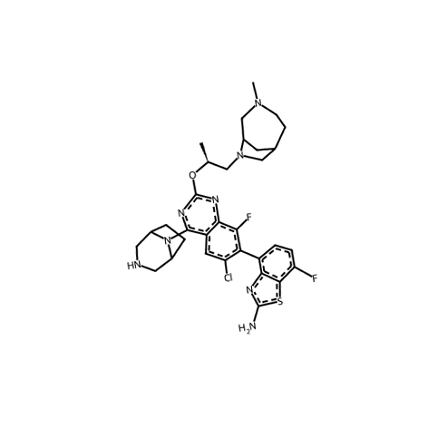 C[C@@H](CN1CC2CCN(C)CC1C2)Oc1nc(N2C3CCC2CNC3)c2cc(Cl)c(-c3ccc(F)c4sc(N)nc34)c(F)c2n1